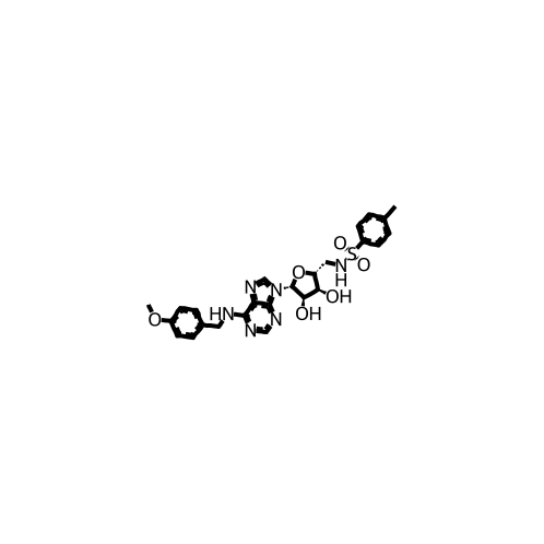 COc1ccc(CNc2ncnc3c2ncn3[C@@H]2O[C@H](CNS(=O)(=O)c3ccc(C)cc3)[C@@H](O)[C@H]2O)cc1